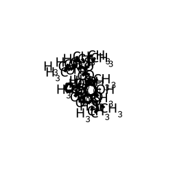 CC[Si](CC)(CC)OC(C(=O)O[C@H]1C[C@@]2(O)[C@@H](OC(=O)c3ccccc3)[C@@H]3[C@]4(OC(C)=O)CO[C@@H]4C[C@H](O[Si](CC)(CC)CC)[C@@]3(C)C(=O)[C@H](O)C(=C1C)C2(C)C)[C@H](CC(C)C)NC(=O)OC(C)(C)C